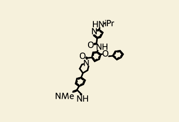 CN/C=C(\C=N)c1ccc(C2CCN(C(=O)c3ccc(OCc4ccccc4)c(NC(=O)c4ccc(NC(C)C)nc4)c3)CC2)cc1